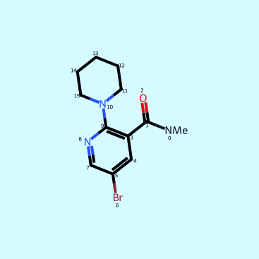 CNC(=O)c1cc(Br)cnc1N1CCCCC1